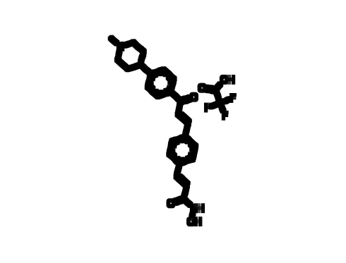 CN1CCC(c2ccc(C(=O)/C=C/c3ccc(/C=C/C(=O)NO)cc3)cc2)CC1.O=C(O)C(F)(F)F